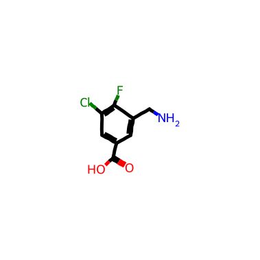 NCc1cc(C(=O)O)cc(Cl)c1F